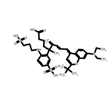 C=C(/C=C/C=C1\C=C(C(C)(C)C)Oc2cc(N(CC)CC)ccc21)C(C)(CCCC(=O)O)c1cc(S(=O)(=O)O)ccc1NCCCS(=O)(=O)O